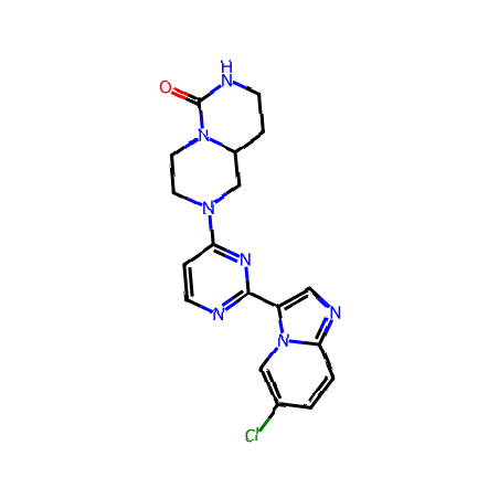 O=C1NCCC2CN(c3ccnc(-c4cnc5ccc(Cl)cn45)n3)CCN12